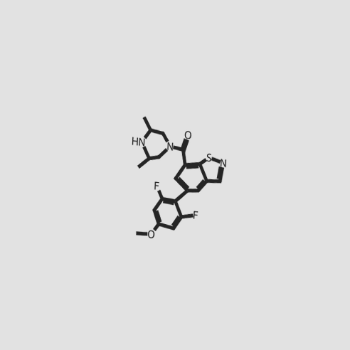 COc1cc(F)c(-c2cc(C(=O)N3CC(C)NC(C)C3)c3sncc3c2)c(F)c1